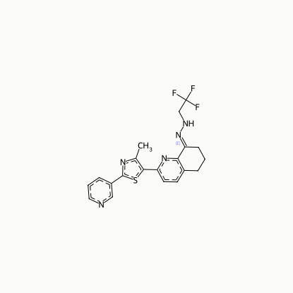 Cc1nc(-c2cccnc2)sc1-c1ccc2c(n1)/C(=N/NCC(F)(F)F)CCC2